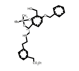 CCOC(=O)Cc1cccc(CCNC[C@H](O[Si](C)(C)C(C)(C)C)c2ccc(OCc3ccccc3)c(CO)c2)c1